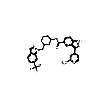 Cc1cc(-c2n[nH]c3ccc(C(=O)NC4CCCC(Cn5ncc6ccc(C(F)(F)F)cc65)C4)cc23)ccn1